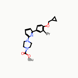 CC(C)c1cc(-c2cccc(N3CCN(C(=O)OC(C)(C)C)CC3)n2)ccc1OCC1CC1